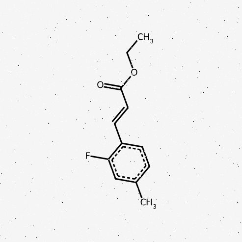 CCOC(=O)/C=C/c1ccc(C)cc1F